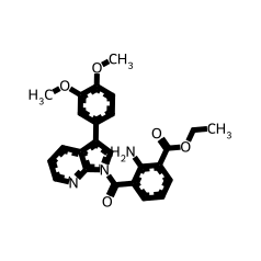 CCOC(=O)c1cccc(C(=O)n2cc(-c3ccc(OC)c(OC)c3)c3cccnc32)c1N